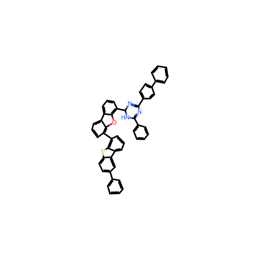 c1ccc(C2=NC(c3ccc(-c4ccccc4)cc3)=NC(c3cccc4c3oc3c(-c5cccc6c5sc5ccc(-c7ccccc7)cc56)cccc34)N2)cc1